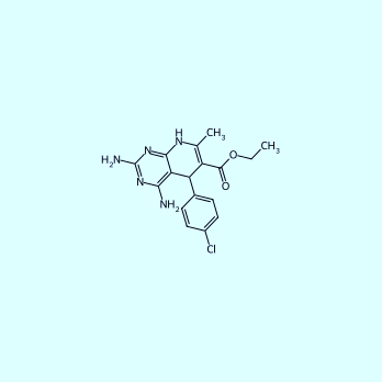 CCOC(=O)C1=C(C)Nc2nc(N)nc(N)c2C1c1ccc(Cl)cc1